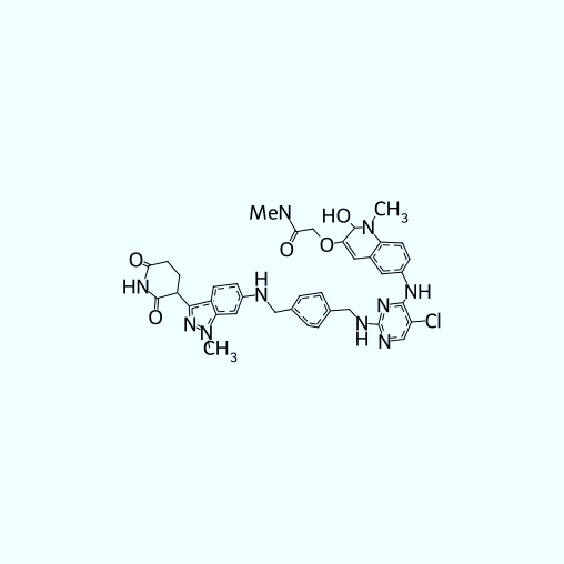 CNC(=O)COC1=Cc2cc(Nc3nc(NCc4ccc(CNc5ccc6c(C7CCC(=O)NC7=O)nn(C)c6c5)cc4)ncc3Cl)ccc2N(C)C1O